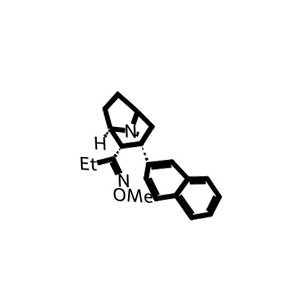 CCC(=NOC)[C@H]1[C@@H](c2ccc3ccccc3c2)CC2CC[C@H]1N2C